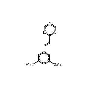 COc1cc(C=Cc2ncncn2)cc(OC)c1